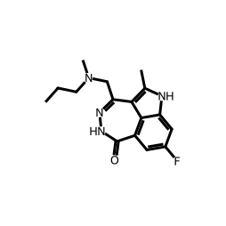 CCCN(C)CC1=NNC(=O)c2cc(F)cc3[nH]c(C)c1c23